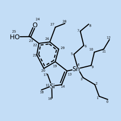 CCC[CH2][Sn]([CH2]CCC)([CH2]CCC)/[C](=C/[Si](C)(C)C)c1ccc(C(=O)O)c(CC)c1